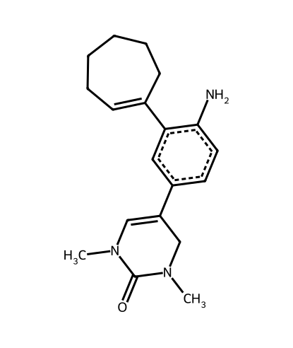 CN1C=C(c2ccc(N)c(C3=CCCCCC3)c2)CN(C)C1=O